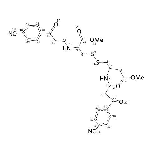 COC(=O)CC(CSSCC(NCCC(=O)c1ccc(C#N)cc1)C(=O)OC)NCCC(=O)c1ccc(C#N)cc1